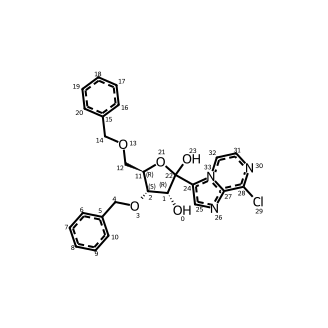 O[C@@H]1[C@H](OCc2ccccc2)[C@@H](COCc2ccccc2)OC1(O)c1cnc2c(Cl)nccn12